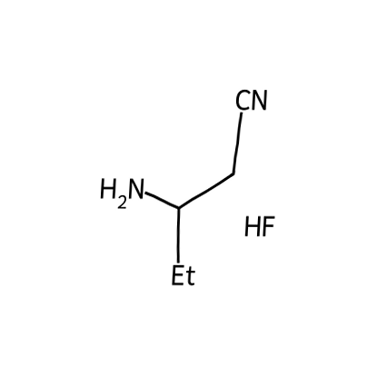 CCC(N)CC#N.F